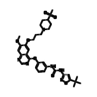 COc1cc2ncnc(Oc3cccc(NC(=O)Nc4cc(C(C)(C)C)on4)c3)c2cc1OCCCN1CCC(S(C)(=O)=O)CC1